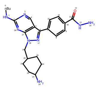 CCCCNc1ncc2c(-c3ccc(C(=O)NN)cc3)nn(CC3CCC(N)CC3)c2n1